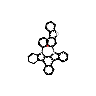 C1=Cc2c(c3c4ccccc4c4c5ccccc5n(-c5ccc6c(c5)oc5ccccc56)c4c3n2-c2ccccc2)CC1